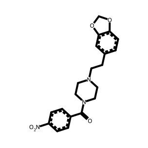 O=C(c1ccc([N+](=O)[O-])cc1)N1CCN(CCc2ccc3c(c2)OCO3)CC1